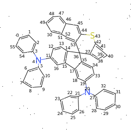 c1ccc(N(c2ccccc2)c2ccc3c(c2)-c2cc(N(c4ccccc4)c4ccccc4)ccc2C32c3ccccc3Sc3cc4ccccc4cc32)cc1